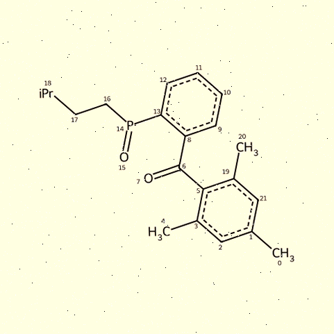 Cc1cc(C)c(C(=O)c2ccccc2[P](=O)CCC(C)C)c(C)c1